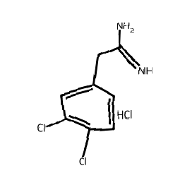 Cl.N=C(N)Cc1ccc(Cl)c(Cl)c1